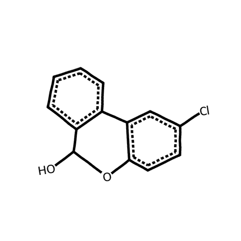 OC1Oc2ccc(Cl)cc2-c2ccccc21